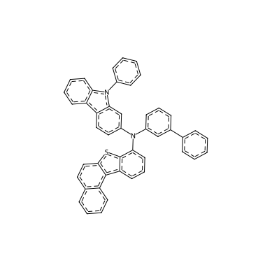 c1ccc(-c2cccc(N(c3ccc4c5ccccc5n(-c5ccccc5)c4c3)c3cccc4c3sc3ccc5ccccc5c34)c2)cc1